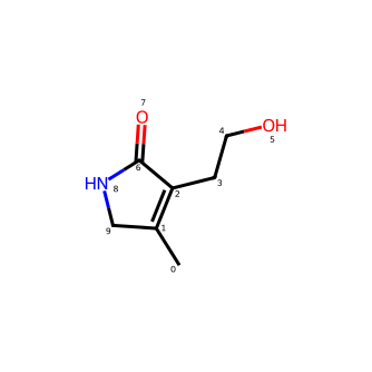 CC1=C(CCO)C(=O)NC1